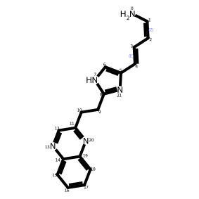 N/C=C\C=C\c1c[nH]c(CCc2cnc3ccccc3n2)n1